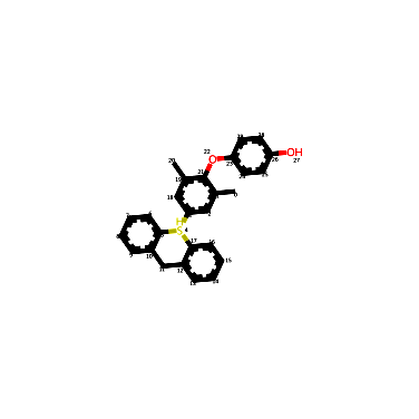 Cc1cc([SH]2c3ccccc3Cc3ccccc32)cc(C)c1Oc1ccc(O)cc1